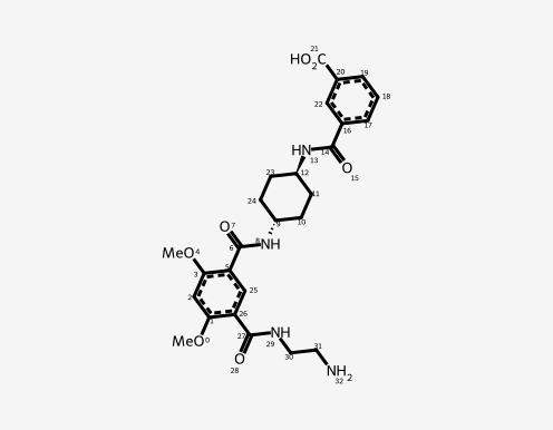 COc1cc(OC)c(C(=O)N[C@H]2CC[C@H](NC(=O)c3cccc(C(=O)O)c3)CC2)cc1C(=O)NCCN